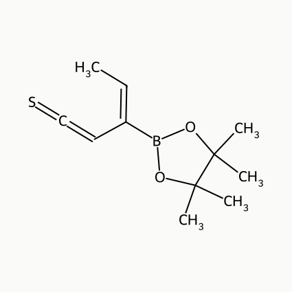 C/C=C(\C=C=S)B1OC(C)(C)C(C)(C)O1